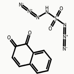 O=C1C=Cc2ccccc2C1=O.[N-]=[N+]=NNS(=O)(=O)N=[N+]=[N-]